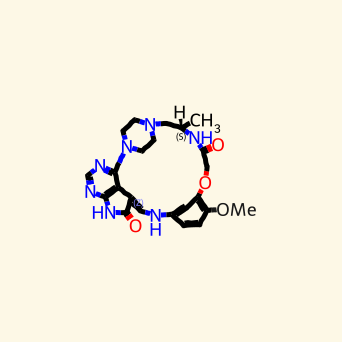 COc1ccc2cc1OCC(=O)N[C@@H](C)CN1CCN(CC1)c1ncnc3c1/C(=C/N2)C(=O)N3